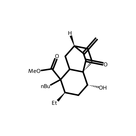 C=C1C(=O)[C@]23CC[C@H]1CC2C(CCCC)(C(=O)OC)[C@H](CC)C[C@H]3O